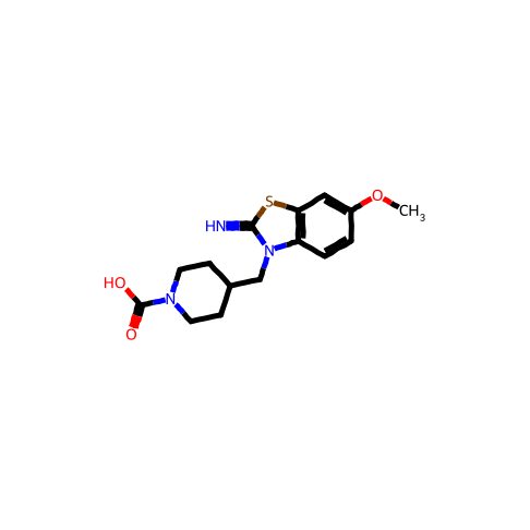 COc1ccc2c(c1)sc(=N)n2CC1CCN(C(=O)O)CC1